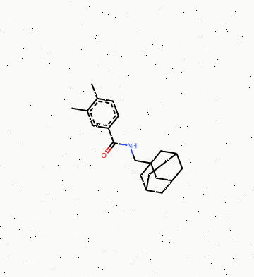 Cc1ccc(C(=O)NCC23CC4CC(CC(C4)C2)C3)cc1C